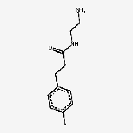 Cc1ccc(CCC(=O)NCCN)cc1